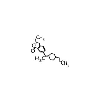 CCCC1CCC(C(C)c2ccc3c(c2)C(=O)OC(CC)C3)CC1